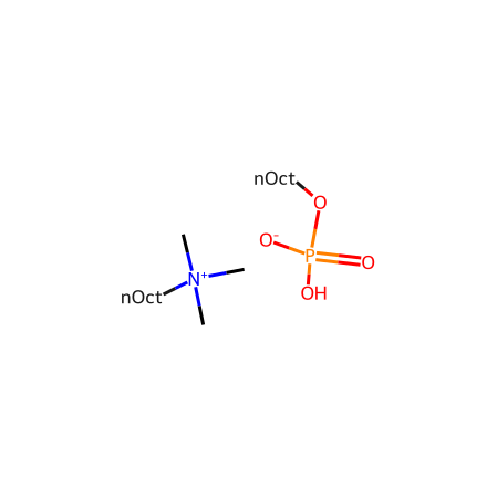 CCCCCCCCOP(=O)([O-])O.CCCCCCCC[N+](C)(C)C